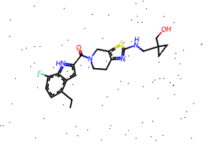 CCc1ccc(F)c2[nH]c(C(=O)N3CCc4nc(NCC5(CO)CC5)sc4C3)cc12